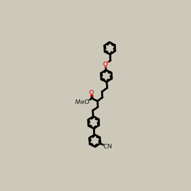 COC(=O)C(CCCc1ccc(OCc2ccccc2)cc1)CCc1ccc(-c2cccc(C#N)c2)cc1